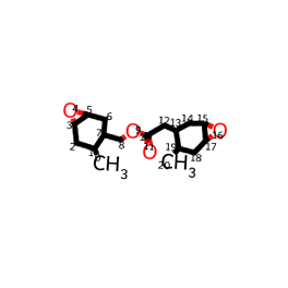 CC1CC2OC2CC1COC(=O)CC1CC2OC2CC1C